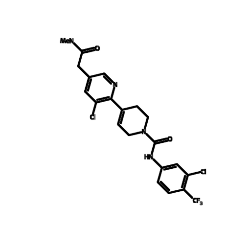 CNC(=O)Cc1cnc(C2=CCN(C(=O)Nc3ccc(C(F)(F)F)c(Cl)c3)CC2)c(Cl)c1